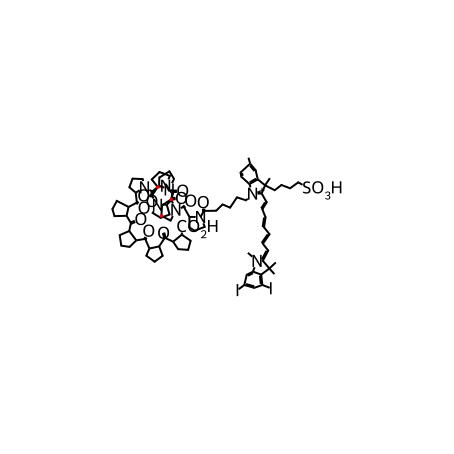 Cc1ccc2c(c1)C(C)(CCCCS(=O)(=O)O)C(/C=C/C=C/C=C/C=C1\N(C)c3cc(I)cc(I)c3C1(C)C)=[N+]2CCCCCC(=O)N1CCCC1C(=O)N1CCCC1C(=O)N1CCCC1C(=O)N1CCCC1C(=O)N1CCCC1C(=O)N1CCCC1C(=O)C1CCCC1C(=O)C1CCCC1C(=O)C1CCCC1C(=O)C1CCCC1C(=O)O